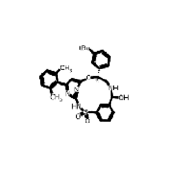 Cc1cccc(C)c1-c1cc2nc(n1)NS(=O)(=O)c1cccc(c1)C(O)NC[C@@H](c1cccc(C(C)(C)C)c1)O2